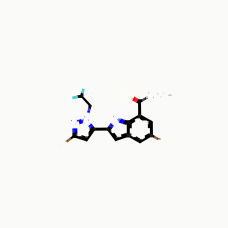 CNC(=O)c1cc(Br)cc2cc(-c3cc(Br)nn3CC(F)F)[nH]c12